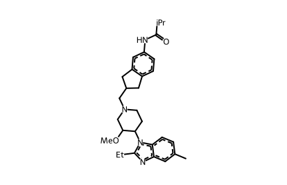 CCc1nc2cc(C)ccc2n1C1CCN(CC2Cc3ccc(NC(=O)C(C)C)cc3C2)CC1OC